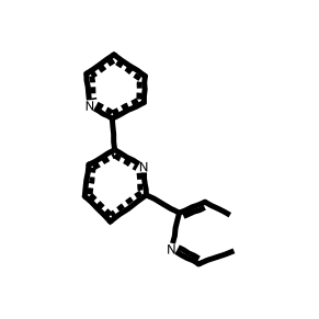 C/C=N\C(=C/C)c1cccc(-c2ccccn2)n1